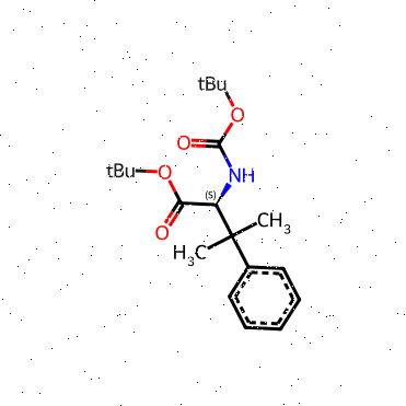 CC(C)(C)OC(=O)N[C@H](C(=O)OC(C)(C)C)C(C)(C)c1ccccc1